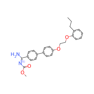 CCCc1ccccc1OCCOc1ccc(-c2ccc(/C(N)=N\C(=O)OC)cc2)cc1